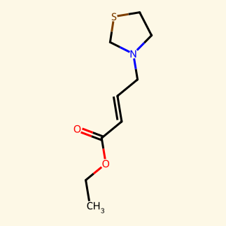 CCOC(=O)C=CCN1CCSC1